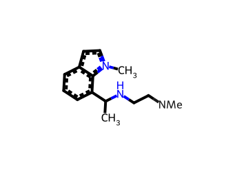 CNCCNC(C)c1cccc2ccn(C)c12